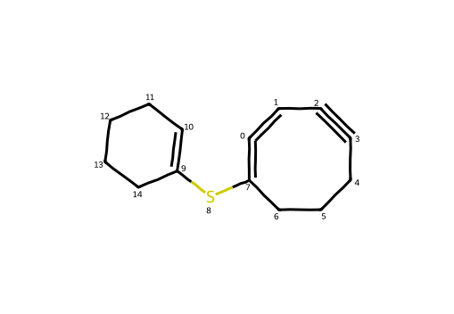 C1=CC#CCCCC=1SC1=CCCCC1